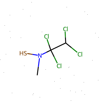 CN(S)C(Cl)(Cl)C(Cl)Cl